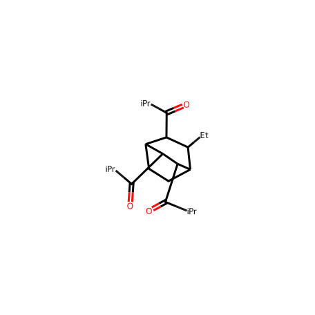 CCC1C2CCC(C1C(=O)C(C)C)C(C(=O)C(C)C)C2C(=O)C(C)C